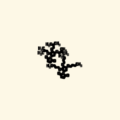 CC(C)CO[C@@H]1[C@@H](OCC(C)C)[C@@H](N2C(=O)C=CC2=O)C[C@@H]1OCC(C)C.CCCCO[C@@H]1[C@@H](OCCCC)[C@@H](N2C(=O)C=CC2=O)C[C@@H]1OCCCC